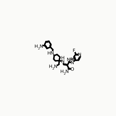 N=C(Nc1ccnc(F)c1)/C(=C\NC1(CN)CCC(NCc2cccc(N)c2)CC1)C(N)=O